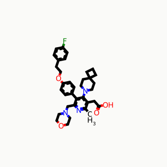 Cc1nc(CN2CCOCC2)c(-c2ccc(OCCc3ccc(F)cc3)cc2)c(N2CCC3(CCC3)CC2)c1CC(=O)O